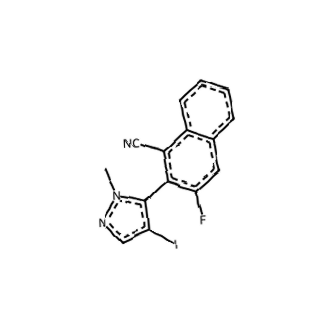 Cn1ncc(I)c1-c1c(F)cc2ccccc2c1C#N